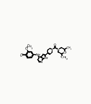 COc1cc(Nc2ccnc3[nH]c(C4=CCN(C(=O)N5CC(C)OC(C)C5)CC4)cc23)ccc1Cl